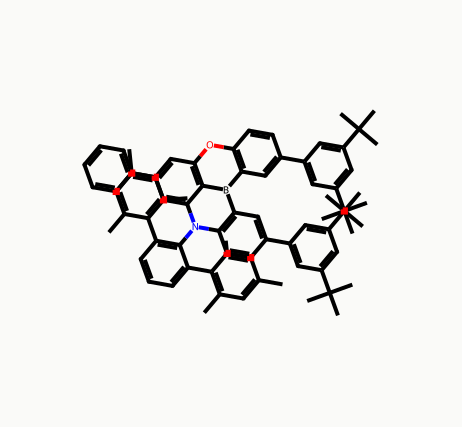 Cc1cc(C)c(-c2cccc(-c3c(C)cc(C)cc3C)c2N2c3ccc(-c4cc(C(C)(C)C)cc(C(C)(C)C)c4)cc3B3c4cc(-c5cc(C(C)(C)C)cc(C(C)(C)C)c5)ccc4Oc4cc(-c5ccccc5)cc2c43)c(C)c1